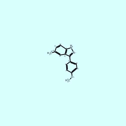 COc1ccc(-c2n[nH]c3ccc(C)cc23)cc1